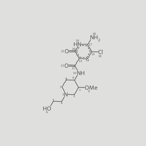 COC1CN(CCO)CCC1NC(=O)c1cc(Cl)c(N)[nH]c1=O